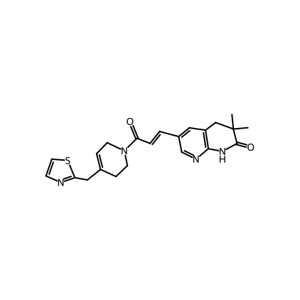 CC1(C)Cc2cc(/C=C/C(=O)N3CC=C(Cc4nccs4)CC3)cnc2NC1=O